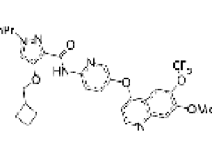 CCCn1cc(OCC2CCC2)c(C(=O)Nc2ccc(Oc3ccnc4cc(OC)c(OC(F)(F)F)cc34)cn2)n1